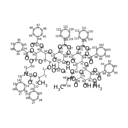 CCCCOCC1OC(OCCN(Cc2ccccc2)C(=O)OCc2ccccc2)C(OC(=O)c2ccccc2)C(OC(=O)c2ccccc2)C1OC1OC(C(=O)O)C(O)C(OC2OC(COCCCC)C(OC3OC(C(=O)O)C(O)C(OP)C3OC(=O)c3ccccc3)C(OC(=O)c3ccccc3)C2OC(=O)c2ccccc2)C1OC(=O)c1ccccc1